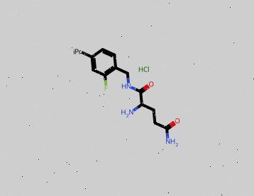 CC(C)c1ccc(CNC(=O)C(N)CCC(N)=O)c(F)c1.Cl